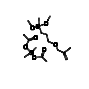 C=C(C)COCCC[Si](C)(OC)OC.CC(=O)O[Si](C)(C)OC(C)=O